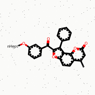 CCCCCCCOc1cccc(C(=O)c2oc3ccc4c(C)cc(=O)oc4c3c2-c2ccccc2)c1